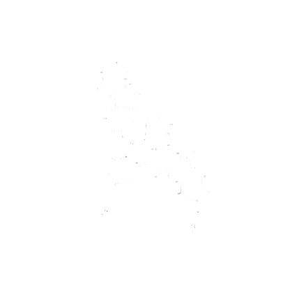 N#Cc1ccc(-n2c3ccccc3c3c4sc5ccccc5c4ccc32)c(-c2ccc3oc4ccc(C#N)cc4c3c2)c1